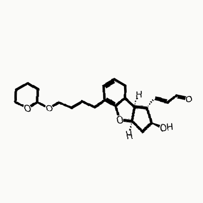 O=CC=C[C@H]1[C@@H]2C3CC=CC(CCCCOC4CCCCO4)=C3O[C@@H]2C[C@@H]1O